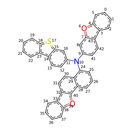 c1ccc2c(c1)oc1cc(N(c3ccc4c(c3)sc3ccccc34)c3cccc4c3ccc3c5ccccc5oc43)ccc12